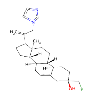 C=C(Cn1ccnc1)[C@H]1CC[C@H]2[C@@H]3CC=C4C[C@@](O)(CF)CC[C@@H]4[C@H]3CC[C@]12C